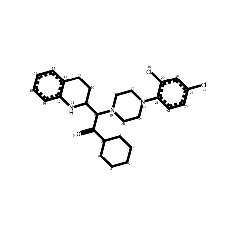 O=C(C1CCCCC1)C(C1CCc2ccccc2N1)N1CCN(c2ccc(Cl)cc2Cl)CC1